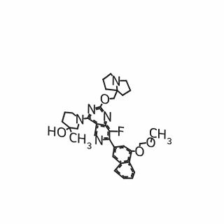 COCOc1cc(-c2ncc3c(N4CCCC(C)(O)C4)nc(OCC45CCCN4CCC5)nc3c2F)cc2ccccc12